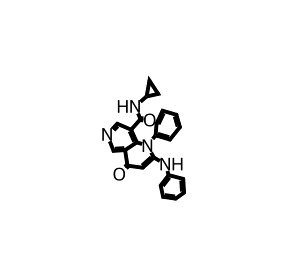 O=C(NC1CC1)c1cncc2c(=O)cc(Nc3ccccc3)n(-c3ccccc3)c12